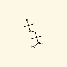 CC(C)(COC(F)(F)F)C(=O)O